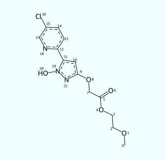 COCCOC(=O)COc1cc(-c2ccc(Cl)cn2)n(O)n1